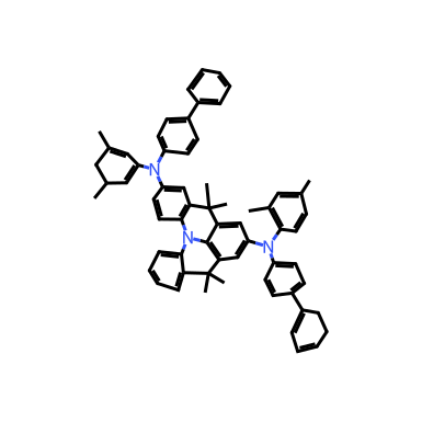 CC1=CC(N(c2ccc(-c3ccccc3)cc2)c2ccc3c(c2)C(C)(C)c2cc(N(c4ccc(C5=CC=CCC5)cc4)c4ccc(C)cc4C)cc4c2N3c2ccccc2C4(C)C)=CC(C)C1